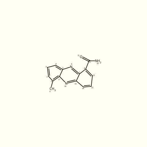 Cc1cccc2nc3c(C(N)=O)cccc3nc12